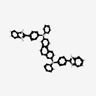 c1ccc(N(c2ccc(-c3nc4ccccc4o3)cc2)c2ccc3c(ccc4cc(N(c5ccccc5)c5ccc(-c6nc7ccccc7o6)cc5)ccc43)c2)cc1